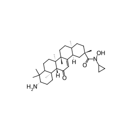 CC1(C)C2CC[C@]3(C)[C@H](C(=O)C=C4[C@@H]5C[C@@](C)(C(=O)N(O)C6CC6)CC[C@]5(C)CC[C@]43C)[C@@]2(C)CC[C@@H]1N